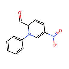 O=CC1C=CC([N+](=O)[O-])=CN1c1ccccc1